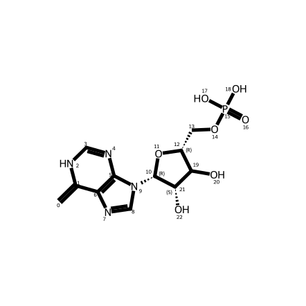 C=C1NC=Nc2c1ncn2[C@@H]1O[C@H](COP(=O)(O)O)C(O)[C@@H]1O